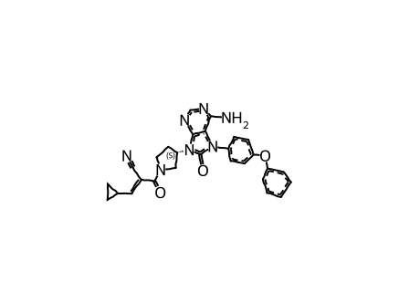 N#CC(=CC1CC1)C(=O)N1CC[C@H](n2c(=O)n(-c3ccc(Oc4ccccc4)cc3)c3c(N)ncnc32)C1